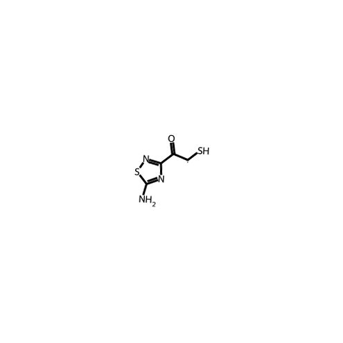 Nc1nc(C(=O)[CH]S)ns1